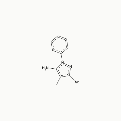 CC(=O)c1nn(-c2ccccc2)c(N)c1C